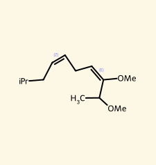 CO/C(=C/C/C=C\CC(C)C)C(C)OC